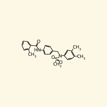 Cc1ccc(N(Cc2ccc(NC(=O)c3ccccc3C)cc2)S(C)(=O)=O)cc1C